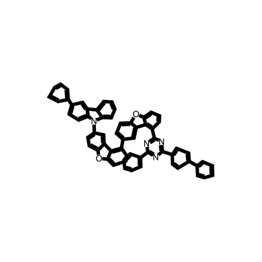 c1ccc(-c2ccc(-c3nc(-c4ccccc4)nc(-c4cccc5oc6ccc(-c7cccc8oc9ccc(-n%10c%11ccccc%11c%11cc(-c%12ccccc%12)ccc%11%10)cc9c78)cc6c45)n3)cc2)cc1